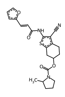 CC1CCCN1C(=O)OC1CCc2c(sc(NC(=O)C=Cc3ccco3)c2C#N)C1